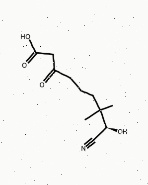 CC(C)(CCCC(=O)CC(=O)O)[C@@H](O)C#N